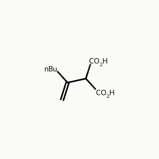 C=C(CCCC)C(C(=O)O)C(=O)O